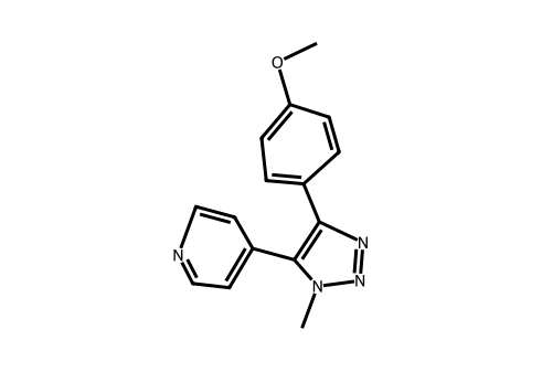 COc1ccc(-c2nnn(C)c2-c2ccncc2)cc1